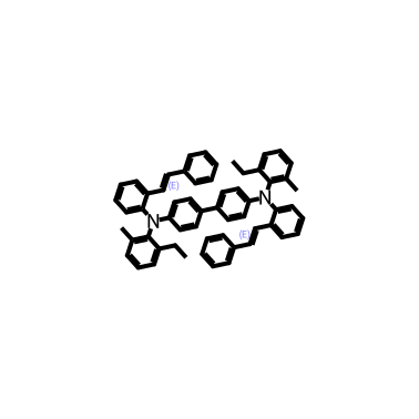 CCc1cccc(C)c1N(c1ccc(-c2ccc(N(c3ccccc3/C=C/c3ccccc3)c3c(C)cccc3CC)cc2)cc1)c1ccccc1/C=C/c1ccccc1